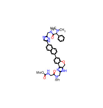 CCCN(Cc1nc2c([nH]1)COc1cc(-c3ccc4cc(-c5cnc(CN(CCC)C(=O)C(c6ccccc6)N(C)C)[nH]5)ccc4c3)ccc1-2)C(=O)CNC(=O)OC